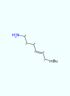 CCCCCC=CCCCN